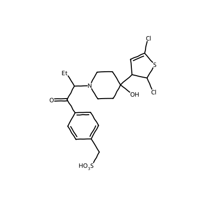 CCC(C(=O)c1ccc(CS(=O)(=O)O)cc1)N1CCC(O)(C2C=C(Cl)SC2Cl)CC1